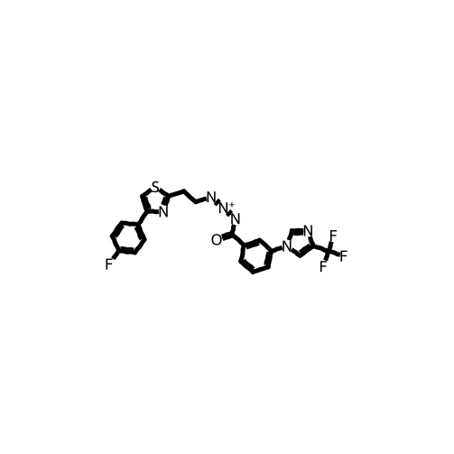 O=C(N=[N+]=NCCc1nc(-c2ccc(F)cc2)cs1)c1cccc(-n2cnc(C(F)(F)F)c2)c1